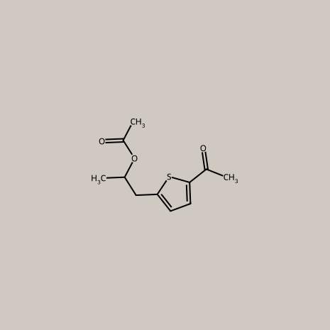 CC(=O)OC(C)Cc1ccc(C(C)=O)s1